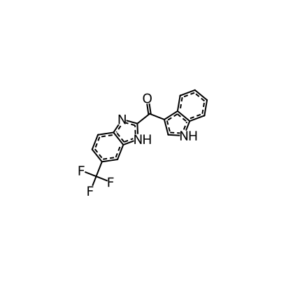 O=C(c1nc2ccc(C(F)(F)F)cc2[nH]1)c1c[nH]c2ccccc12